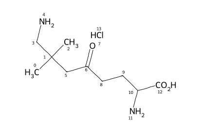 CC(C)(CN)CC(=O)CCC(N)C(=O)O.Cl